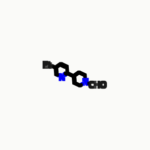 CCc1ccc(C2=CCN(C=O)CC2)nc1